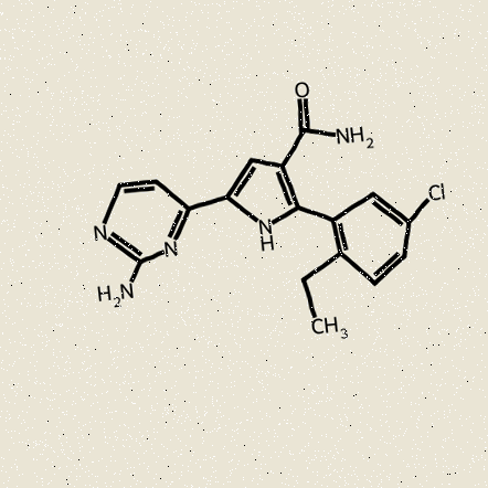 CCc1ccc(Cl)cc1-c1[nH]c(-c2ccnc(N)n2)cc1C(N)=O